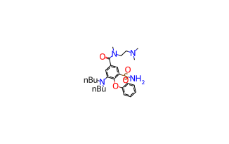 CCCCN(CCCC)c1cc(C(=O)N(C)CCN(C)C)cc(S(N)(=O)=O)c1Oc1ccccc1